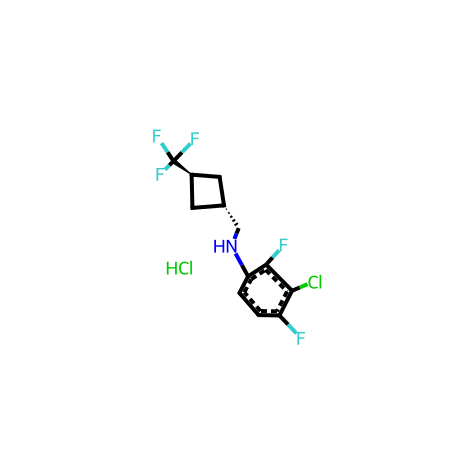 Cl.Fc1ccc(NC[C@H]2C[C@H](C(F)(F)F)C2)c(F)c1Cl